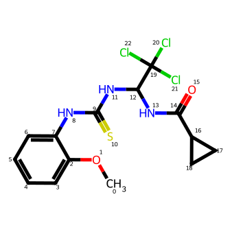 COc1ccccc1NC(=S)NC(NC(=O)C1CC1)C(Cl)(Cl)Cl